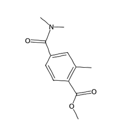 COC(=O)c1ccc(C(=O)N(C)C)cc1C